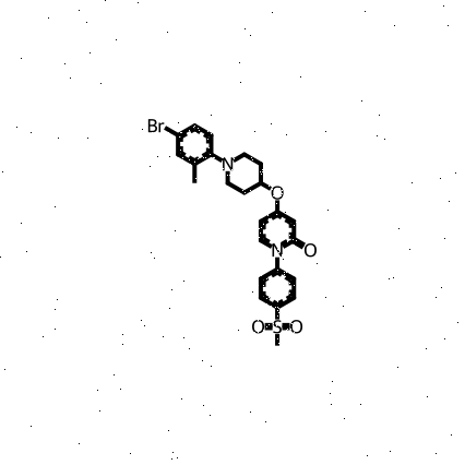 Cc1cc(Br)ccc1N1CCC(Oc2ccn(-c3ccc(S(C)(=O)=O)cc3)c(=O)c2)CC1